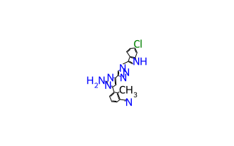 Cc1c(C#N)cccc1-c1cc(-c2cn(Cc3c[nH]c4cc(Cl)ccc34)nn2)nc(N)n1